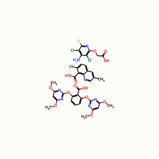 COc1cc(OC)nc(Oc2cccc(Oc3nc(OC)cc(OC)n3)c2C(=O)O)n1.Cc1cnc2c(C(=O)O)c(Cl)ccc2c1.Nc1c(Cl)c(F)nc(OCC(=O)O)c1Cl